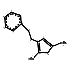 CCCCC1=CC(CCc2ccccc2)=C(CCCC)C1